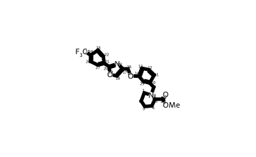 COC(=O)C1CCCCN1Cc1cccc(OCc2coc(-c3ccc(C(F)(F)F)cc3)n2)c1